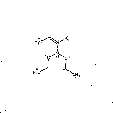 CC=C(C)[SiH](OCC)OCC